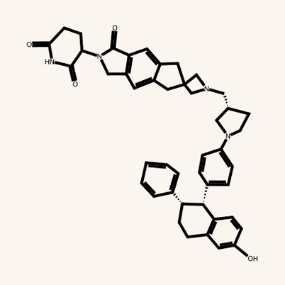 O=C1CCC(N2Cc3cc4c(cc3C2=O)CC2(C4)CN(C[C@@H]3CCN(c4ccc([C@@H]5c6ccc(O)cc6CC[C@@H]5c5ccccc5)cc4)C3)C2)C(=O)N1